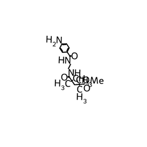 COC(=O)C(C)(C)CC(C)(C)C(=O)NCCNC(=O)c1ccc(N)cc1